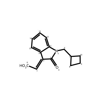 O=C(O)/C=C1/C(=O)N(CC2CCC2)c2ccccc21